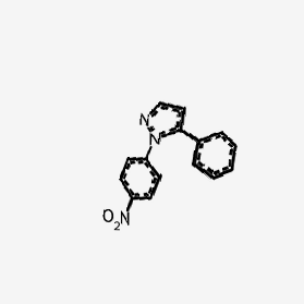 O=[N+]([O-])c1ccc(-n2nccc2-c2ccccc2)cc1